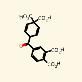 O=C(O)c1ccc(C(=O)C2C=CC(C(=O)O)(C(=O)O)C=C2)cc1C(=O)O